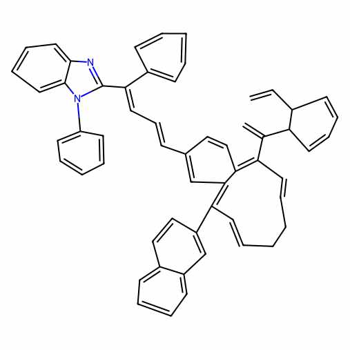 C=CC1C=CC=CC1C(=C)C1=c2\ccc(/C=C/C=C(\c3ccccc3)c3nc4ccccc4n3-c3ccccc3)c\c2=C(c2ccc3ccccc3c2)\C=C\CC\C=C\1